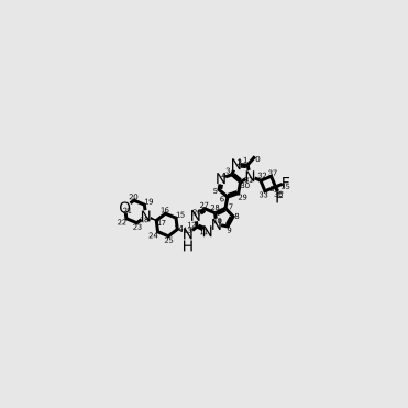 Cc1nc2ncc(-c3ccn4nc(N[C@H]5CC[C@H](N6CCOCC6)CC5)ncc34)cc2n1C1CC(F)(F)C1